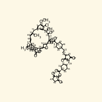 COc1cc2cc(c1Cl)N(C)C(=O)C[C@H](OC(=O)C1CCC(CSC3CC(=O)N(C[C@H]4CC[C@H](C(=O)ON5C(=O)CCC5=O)CC4)C3=O)CC1)[C@@]1(C)CC(C)(O1)C1C[C@@](O)(NC(=O)O1)[C@H](OC)/C=C/C=C(\C)C2